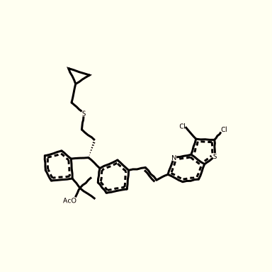 CC(=O)OC(C)(C)c1ccccc1[C@H](CCSCC1CC1)c1cccc(C=Cc2ccc3sc(Cl)c(Cl)c3n2)c1